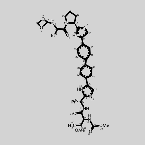 CCC(NC1OCO1)C(=O)N1CCC[C@H]1c1ncc(-c2ccc(-c3ccc(-c4cnc([C@H](NC(=O)[C@@H](NC(=O)OC)[C@@H](C)OC)C(C)C)[nH]4)cc3)cc2)[nH]1